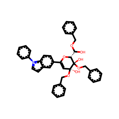 OC(OCc1ccccc1)[C@H]1OC(c2ccc3c(ccn3-c3ccccc3)c2)=C[C@](O)(OCc2ccccc2)[C@@]1(O)OCc1ccccc1